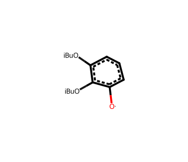 CC(C)COc1cccc([O])c1OCC(C)C